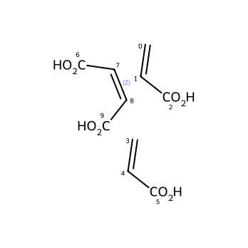 C=CC(=O)O.C=CC(=O)O.O=C(O)/C=C\C(=O)O